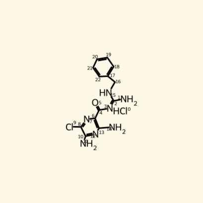 Cl.NC(=NC(=O)c1nc(Cl)c(N)nc1N)NCc1ccccc1